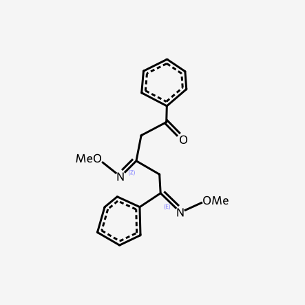 CO/N=C(\CC(=O)c1ccccc1)C/C(=N\OC)c1ccccc1